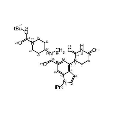 CC(C)n1ccc2c(N3CCC(=O)NC3=O)cc(C(=O)N(C)C3CCN(C(=O)OC(C)(C)C)CC3)cc21